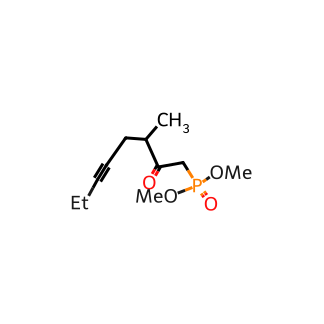 CCC#CCC(C)C(=O)CP(=O)(OC)OC